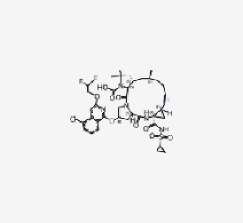 C[C@H]1CC/C=C\[C@@H]2C[C@@]2(C(=O)NS(=O)(=O)C2CC2)NC(=O)[C@@H]2C[C@@H](Oc3nc(OCC(F)F)cc4c(Cl)cccc34)CN2C(=O)[C@@H](N(C(=O)O)C(C)(C)C)[C@H](C)C1